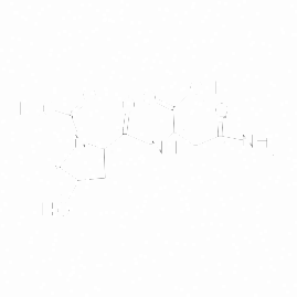 CC(=O)N1CC(O)CC1C(=O)NC(CC(N)=O)C(=O)O